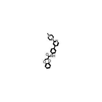 CN1CCN(c2cc(-c3ccc(NC(=O)C4COc5ccccc5O4)cc3)ccn2)CC1